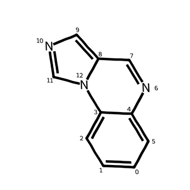 c1ccc2c(c1)ncc1cncn12